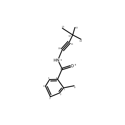 Cc1ccccc1C(=O)NC#CC(C)(C)C